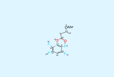 COC(C)CC(=O)Oc1c(F)c(F)cc(F)c1F